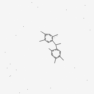 Cc1cc(C)c(C(C)c2cc(C)c(C)cc2C)cc1C